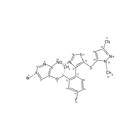 C[C@@H](Oc1cc(Br)cnc1[N+](=O)[O-])c1cc(F)ccc1-c1ncsc1Cc1cc(C#N)nn1C